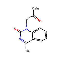 COC(=O)Cn1c(=O)nc(C(C)(C)C)c2ccccc21